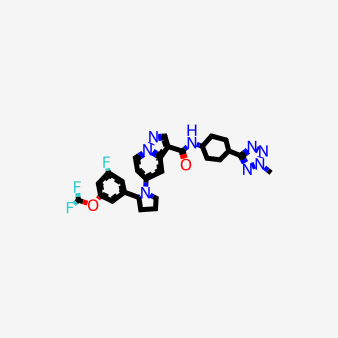 Cn1nnc(C2CCC(NC(=O)c3cnn4ccc(N5CCCC5c5cc(F)cc(OC(F)F)c5)cc34)CC2)n1